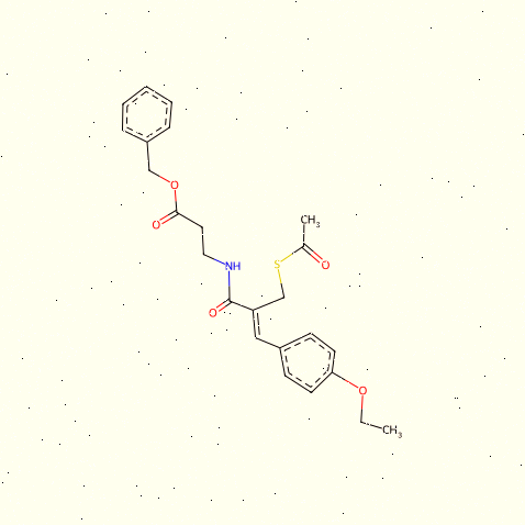 CCOc1ccc(/C=C(\CSC(C)=O)C(=O)NCCC(=O)OCc2ccccc2)cc1